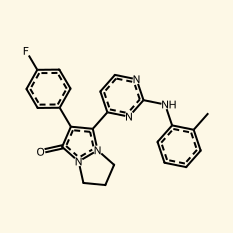 Cc1ccccc1Nc1nccc(-c2c(-c3ccc(F)cc3)c(=O)n3n2CCC3)n1